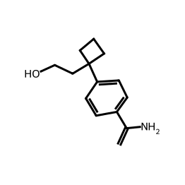 C=C(N)c1ccc(C2(CCO)CCC2)cc1